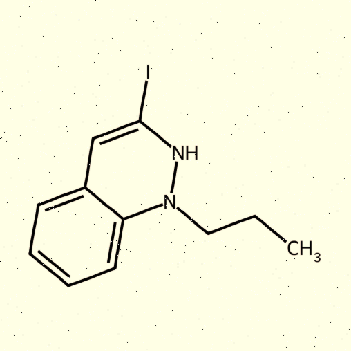 CCCN1NC(I)=Cc2ccccc21